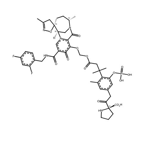 CC1=NO[C@@]2(CC[C@H](C)N3C[C@H]2n2cc(C(=O)NCc4ccc(F)cc4F)c(=O)c(OCOC(=O)CC(C)(C)c4c(C)cc(CC(=O)[C@]5(C(=O)O)CCCN5)cc4OP(=O)(O)O)c2C3=O)C1